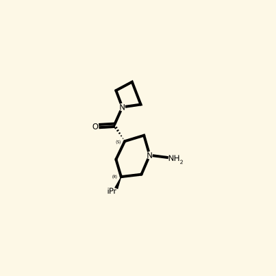 CC(C)[C@H]1C[C@H](C(=O)N2CCC2)CN(N)C1